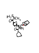 CC1CC2CCC(C1)N2CC[C@H](NC(=O)C1CCCCC1)c1ccc(C(=O)N(C)C)s1